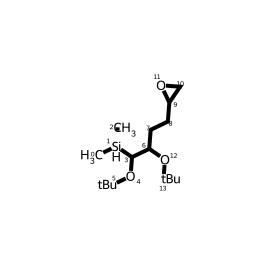 C[SiH](C)C(OC(C)(C)C)C(CCC1CO1)OC(C)(C)C